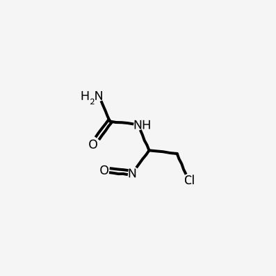 NC(=O)NC(CCl)N=O